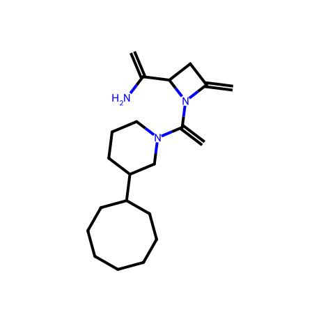 C=C(N)C1CC(=C)N1C(=C)N1CCCC(C2CCCCCCC2)C1